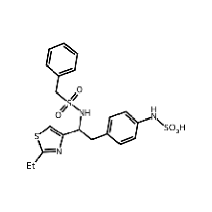 CCc1nc(C(Cc2ccc(NS(=O)(=O)O)cc2)NS(=O)(=O)Cc2ccccc2)cs1